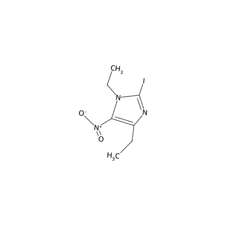 CCc1nc(I)n(CC)c1[N+](=O)[O-]